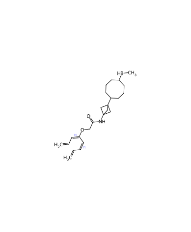 C=C/C=C\C(=C/C=C)OCC(=O)NC12CC(C3CCCC(BC)CCC3)(C1)C2